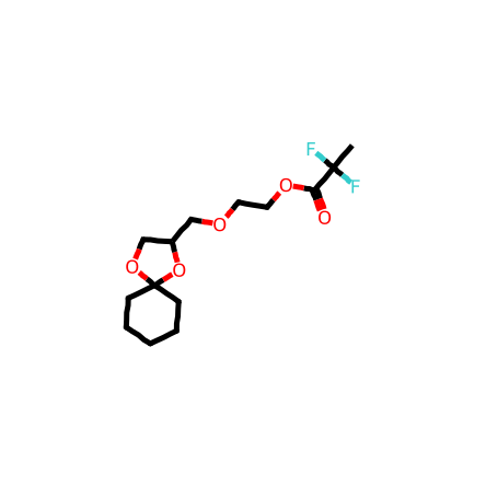 CC(F)(F)C(=O)OCCOCC1COC2(CCCCC2)O1